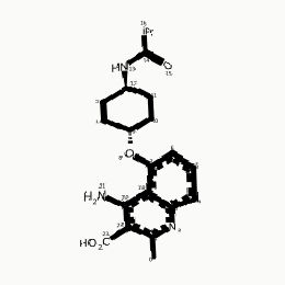 Cc1nc2cccc(O[C@H]3CC[C@H](NC(=O)C(C)C)CC3)c2c(N)c1C(=O)O